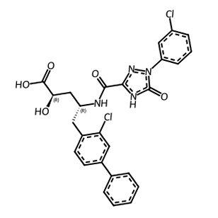 O=C(N[C@H](Cc1ccc(-c2ccccc2)cc1Cl)C[C@@H](O)C(=O)O)c1nn(-c2cccc(Cl)c2)c(=O)[nH]1